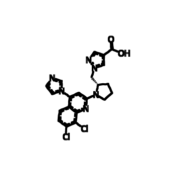 O=C(O)c1cnn(C[C@@H]2CCCN2c2cc(-n3ccnc3)c3ccc(Cl)c(Cl)c3n2)c1